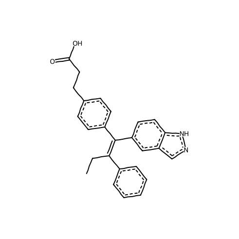 CCC(=C(c1ccc(CCC(=O)O)cc1)c1ccc2[nH]ncc2c1)c1ccccc1